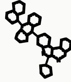 c1ccc(-c2nc3cc(-c4c5ccccc5c(-c5cccc6ccccc56)c5ccccc45)ccc3c3c2ncc2ccccc23)cc1